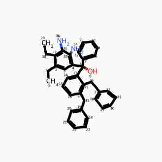 CCc1cc(C(O)(c2ccccc2)c2cccc(Cc3ccccc3)c2Cc2ccccc2)c(N)c(N)c1CC